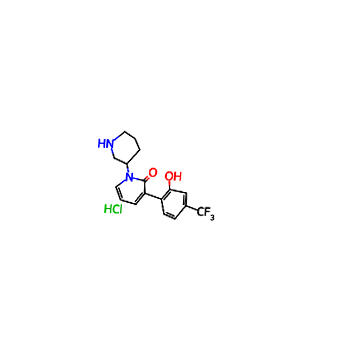 Cl.O=c1c(-c2ccc(C(F)(F)F)cc2O)cccn1C1CCCNC1